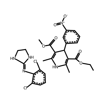 CCOC(=O)C1=C(C)NC(C)=C(C(=O)OC)C1c1cccc([N+](=O)[O-])c1.Clc1cccc(Cl)c1N=C1NCCN1